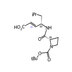 CC(C)C[C@@H](/C=C/C(=O)O)NC(=O)[C@@H]1CCN1C(=O)OC(C)(C)C